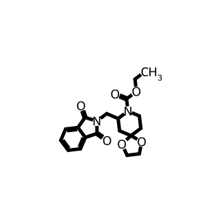 CCOC(=O)N1CCC2(CC1CN1C(=O)c3ccccc3C1=O)OCCO2